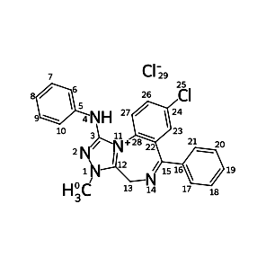 Cn1nc(Nc2ccccc2)[n+]2c1CN=C(c1ccccc1)c1cc(Cl)ccc1-2.[Cl-]